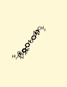 Cc1cnc(N2CCC(ON=C3CCC(c4ccc(NC(N)=O)c(F)c4F)CC3)CC2)nc1